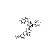 FC(F)(F)c1ccc(NC2CCN(c3nc(C4CNCCO4)nc(-n4cnc5ccccc54)n3)CC2)cc1